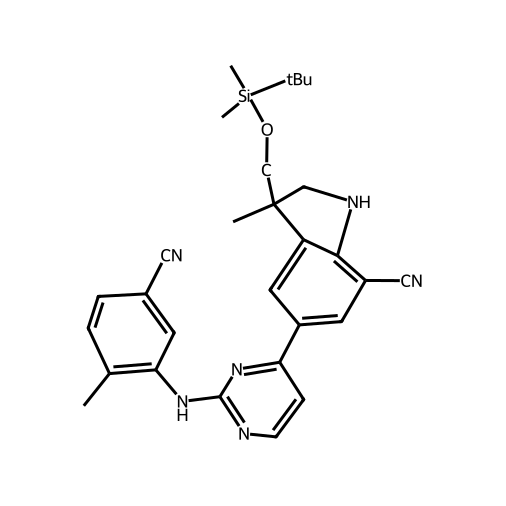 Cc1ccc(C#N)cc1Nc1nccc(-c2cc(C#N)c3c(c2)C(C)(CO[Si](C)(C)C(C)(C)C)CN3)n1